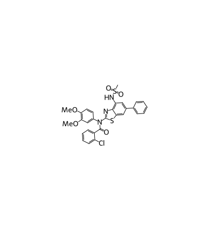 COc1ccc(N(C(=O)c2ccccc2Cl)c2nc3c(NS(C)(=O)=O)cc(-c4ccccc4)cc3s2)cc1OC